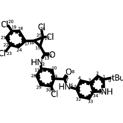 CC(C)(C)c1cc2cc(NC(=O)c3cc(NC(=O)C4C(c5cc(Cl)cc(Cl)c5)C4(Cl)Cl)ccc3Cl)ccc2[nH]1